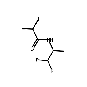 CC(I)C(=O)NC(C)C(F)F